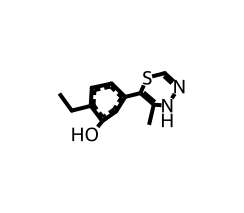 CCc1ccc(C2=C(C)NN=CS2)cc1O